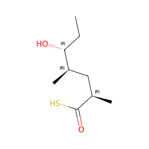 CC[C@@H](O)[C@H](C)C[C@@H](C)C(=O)S